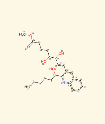 CCCCCC(O)c1nc2ccccc2cc1/C=C/C(O)C(O)CCCC(=O)OC